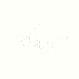 Cc1ccc(N2C(=O)C(=NNc3cccc(-c4cccc(C(=O)O)c4)c3O)c3cc(F)ccc32)c(F)c1